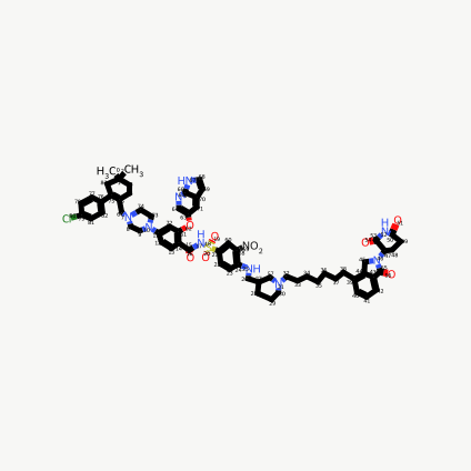 CC1(C)CCC(CN2CCN(c3ccc(C(=O)NS(=O)(=O)c4ccc(NCC5CCCN(CCCCCCCc6cccc7c6CN(C6CCC(=O)NC6=O)C7=O)C5)c([N+](=O)[O-])c4)c(Oc4cnc5[nH]ccc5c4)c3)CC2)=C(c2ccc(Cl)cc2)C1